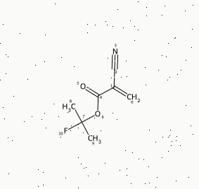 C=C(C#N)C(=O)OC(C)(C)F